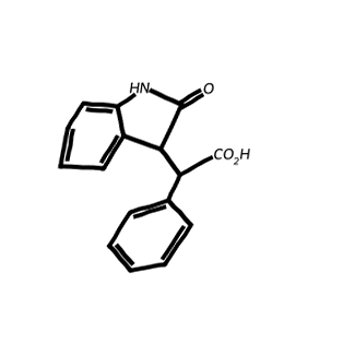 O=C(O)C(c1ccccc1)C1C(=O)Nc2ccccc21